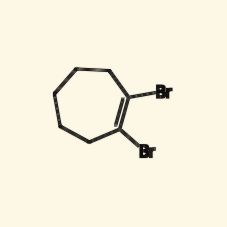 BrC1=C(Br)CCCCC1